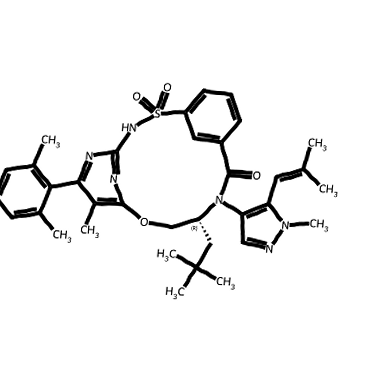 CC(C)=Cc1c(N2C(=O)c3cccc(c3)S(=O)(=O)Nc3nc(c(C)c(-c4c(C)cccc4C)n3)OC[C@H]2CC(C)(C)C)cnn1C